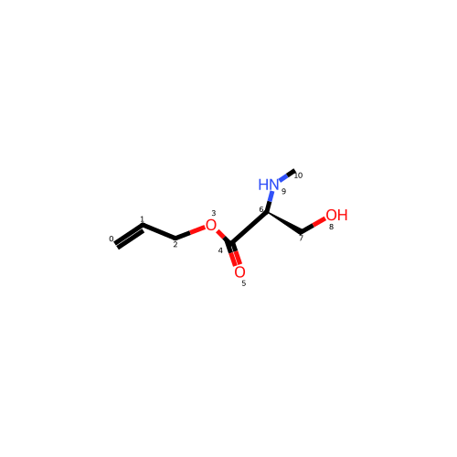 C=CCOC(=O)[C@H](CO)NC